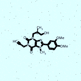 C#CCn1c(=O)c2c(nc(-c3ccc(OC)c(OC)c3)n2C)n(C[C@@H](C)CO)c1=O